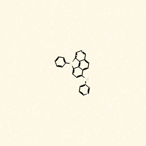 c1ccc(Nc2ccc3c4c2ccc2cccc(c24)n3-c2ccccc2)cc1